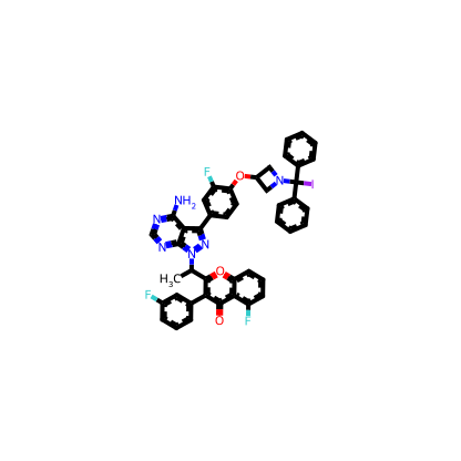 CC(c1oc2cccc(F)c2c(=O)c1-c1cccc(F)c1)n1nc(-c2ccc(OC3CN(C(I)(c4ccccc4)c4ccccc4)C3)c(F)c2)c2c(N)ncnc21